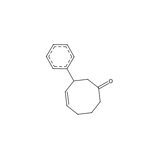 O=C1CCCC=CC(c2ccccc2)C1